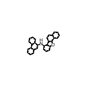 c1ccc2c(c1)cc(Nc1cccc3oc4c5ccccc5ccc4c13)c1ccccc12